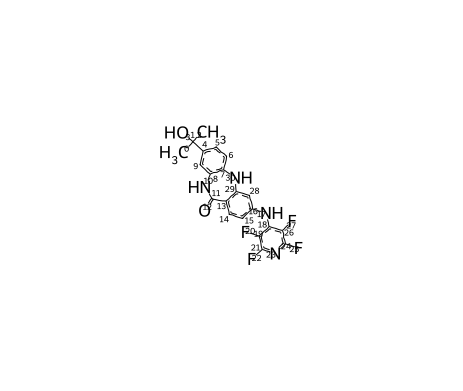 CC(C)(O)c1ccc2c(c1)NC(=O)c1ccc(Nc3c(F)c(F)nc(F)c3F)cc1N2